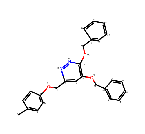 Cc1ccc(OCc2cc(OCc3ccccc3)c(OCc3ccccc3)nn2)cc1